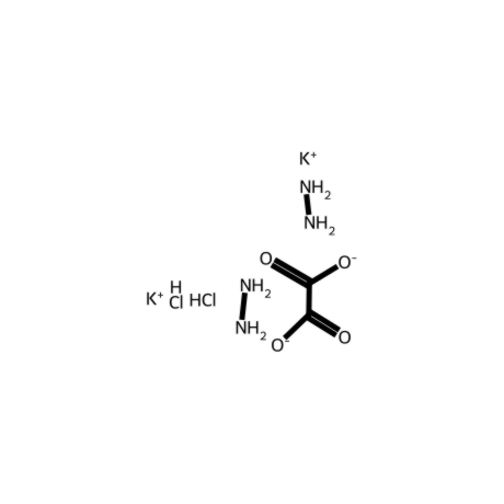 Cl.Cl.NN.NN.O=C([O-])C(=O)[O-].[K+].[K+]